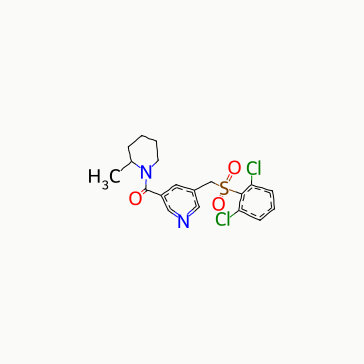 CC1CCCCN1C(=O)c1cncc(CS(=O)(=O)c2c(Cl)cccc2Cl)c1